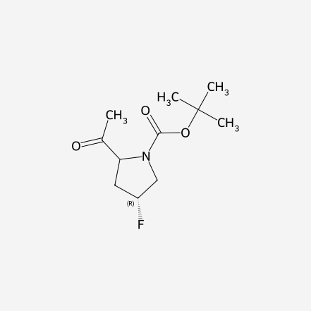 CC(=O)C1C[C@@H](F)CN1C(=O)OC(C)(C)C